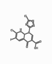 O=C(O)C1=CN(c2nc(Cl)ns2)C2NC(Cl)=C(F)C=C2C1=O